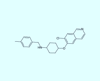 Cc1ccc(CNC2CCC(Oc3cc4ccncc4cc3Cl)CC2)cc1